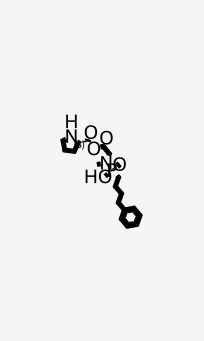 CN(CC(=O)OC(=O)[C@@H]1CCCN1)P(=O)(O)CCCCc1ccccc1